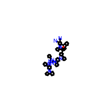 N#Cc1cc(C2c3ccccc3-c3ccccc32)c(-n2c3ccccc3c3c(-c4ccc5c(c4)c4ccccc4n5-c4ccc5c(c4)c4ccccc4n5-c4nc(-c5ccccc5)nc(-n5c6ccccc6c6cc(-n7c8ccccc8c8ccccc87)ccc65)n4)cccc32)cc1C#N